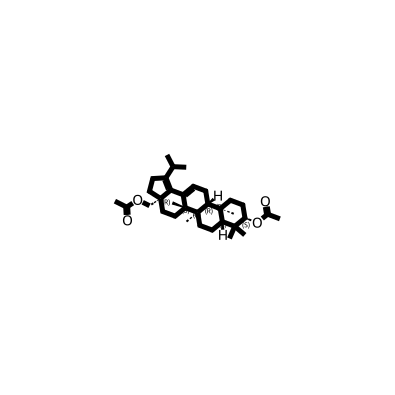 CC(=O)OC[C@]12CCC(C(C)C)=C1C1=CC[C@@H]3[C@@]4(C)CC[C@H](OC(C)=O)C(C)(C)[C@@H]4CC[C@@]3(C)[C@]1(C)CC2